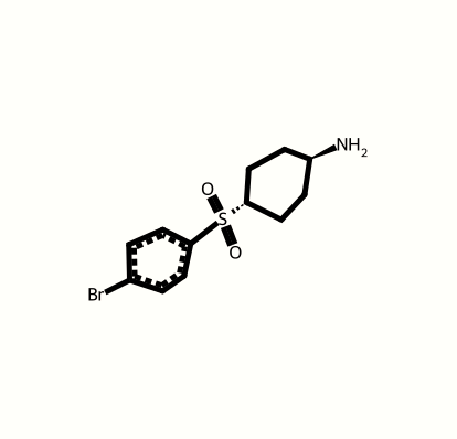 N[C@H]1CC[C@H](S(=O)(=O)c2ccc(Br)cc2)CC1